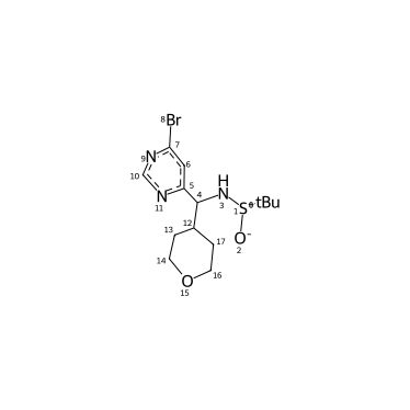 CC(C)(C)[S+]([O-])NC(c1cc(Br)ncn1)C1CCOCC1